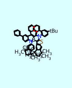 CC(C)(C)c1ccc(N2c3cc4ccccc4c4c3B(c3c2sc2cc5c(cc32)C(C)(C)CCC5(C)C)N(c2ccc3c(c2)C(C)(C)CCC3(C)C)c2ccc(-c3ccccc3)cc2-4)c(-c2ccccc2)c1